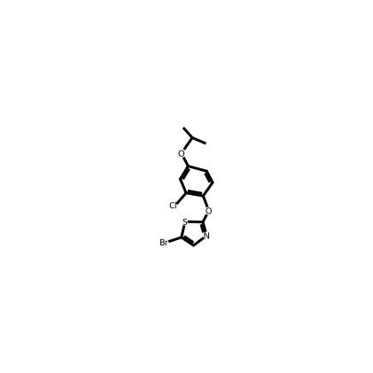 CC(C)Oc1ccc(Oc2ncc(Br)s2)c(Cl)c1